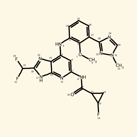 COc1c(Nc2cc(NC(=O)C3CC3F)nc3[nH]c(C(F)F)nc23)cccc1-c1ncn(C)n1